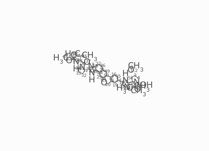 COC[C@@H]1CN(C(=O)O)[C@](c2ncc(-c3ccc4c(c3)COc3cc5c(ccc6nc([C@@H]7CCCN7C(=O)[C@@H](NC(=O)OC)C(C)C)[nH]c65)cc3-4)[nH]2)(C(C)(C)C)C1